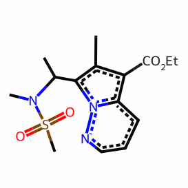 CCOC(=O)c1c(C)c(C(C)N(C)S(C)(=O)=O)n2ncccc12